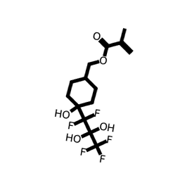 C=C(C)C(=O)OCC1CCC(O)(C(F)(F)C(O)(O)C(F)(F)F)CC1